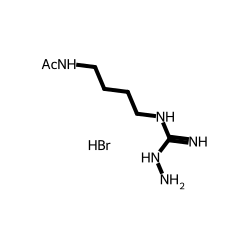 Br.CC(=O)NCCCCNC(=N)NN